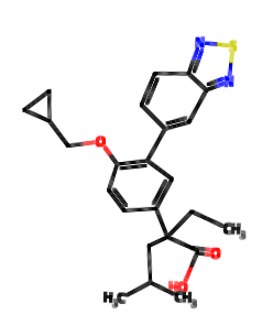 CCC(CC(C)C)(C(=O)O)c1ccc(OCC2CC2)c(-c2ccc3nsnc3c2)c1